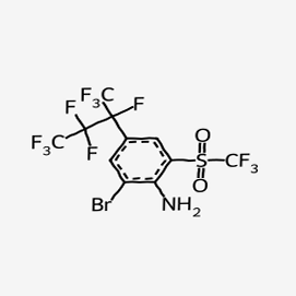 Nc1c(Br)cc(C(F)(C(F)(F)F)C(F)(F)C(F)(F)F)cc1S(=O)(=O)C(F)(F)F